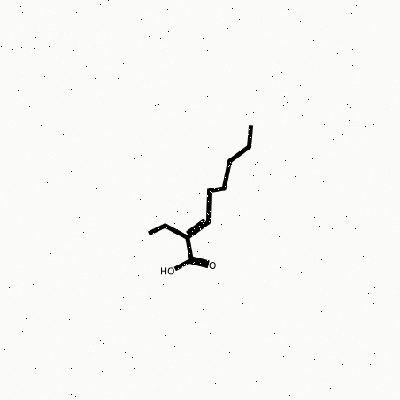 CCCCC/C=C(\CC)C(=O)O